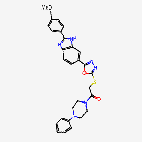 COc1ccc(-c2nc3ccc(-c4nnc(SCC(=O)N5CCN(c6ccccc6)CC5)o4)cc3[nH]2)cc1